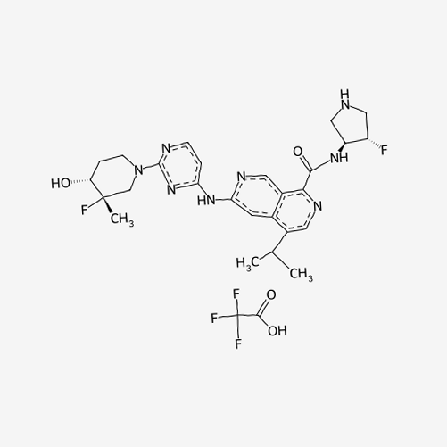 CC(C)c1cnc(C(=O)N[C@H]2CNC[C@@H]2F)c2cnc(Nc3ccnc(N4CC[C@@H](O)[C@@](C)(F)C4)n3)cc12.O=C(O)C(F)(F)F